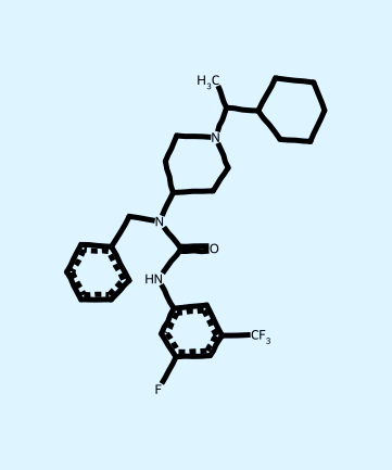 CC(C1CCCCC1)N1CCC(N(Cc2ccccc2)C(=O)Nc2cc(F)cc(C(F)(F)F)c2)CC1